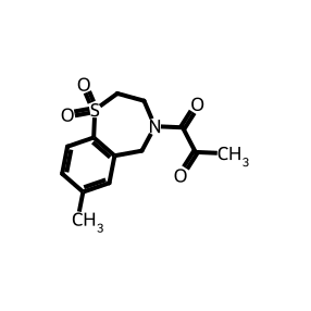 CC(=O)C(=O)N1CCS(=O)(=O)c2ccc(C)cc2C1